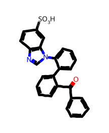 O=C(c1ccccc1)c1ccccc1-c1ccccc1-n1cnc2ccc(S(=O)(=O)O)cc21